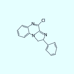 ClC1=Nc2ccccc2N2CC(c3ccccc3)N=C12